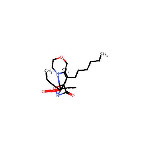 C=C(CCCCCC)C12ON(C1=O)C(=O)C2(CC)N1CCOCC1